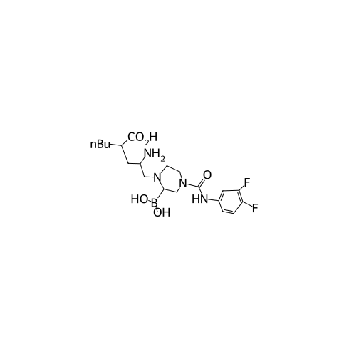 CCCCC(CC(N)CN1CCN(C(=O)Nc2ccc(F)c(F)c2)CC1B(O)O)C(=O)O